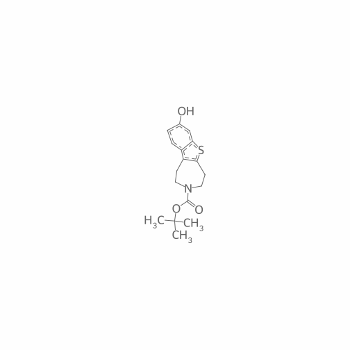 CC(C)(C)OC(=O)N1CCc2sc3cc(O)ccc3c2CC1